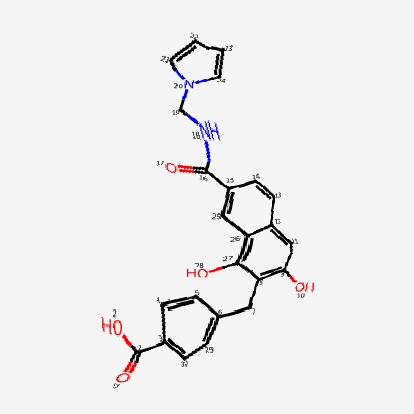 O=C(O)c1ccc(Cc2c(O)cc3ccc(C(=O)NCn4cccc4)cc3c2O)cc1